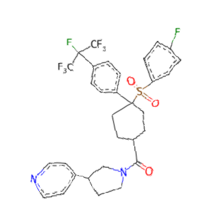 O=C(C1CCC(c2ccc(C(F)(C(F)(F)F)C(F)(F)F)cc2)(S(=O)(=O)c2ccc(F)cc2)CC1)N1CCC(c2ccncc2)C1